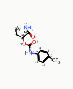 CC(C)C[C@H](OC(=O)Nc1ccc(C(F)(F)F)cc1)C(N)=O